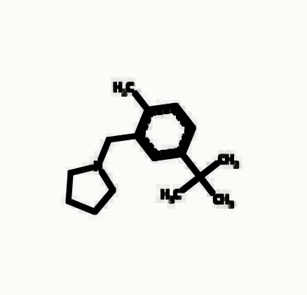 Cc1ccc(C(C)(C)C)cc1CN1CCCC1